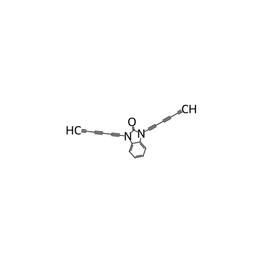 C#CC#CC#Cn1c(=O)n(C#CC#CC#C)c2ccccc21